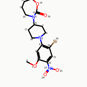 COc1cc(N2CCC(N3CCCCOC3=O)CC2)c(Br)cc1[N+](=O)[O-]